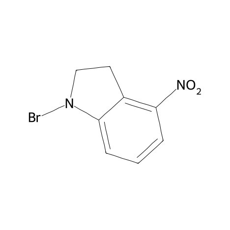 O=[N+]([O-])c1cccc2c1CCN2Br